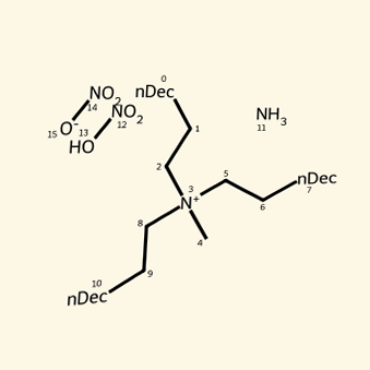 CCCCCCCCCCCC[N+](C)(CCCCCCCCCCCC)CCCCCCCCCCCC.N.O=[N+]([O-])O.O=[N+]([O-])[O-]